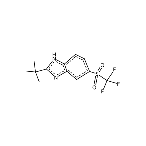 CC(C)(C)c1nc2cc(S(=O)(=O)C(F)(F)F)ccc2[nH]1